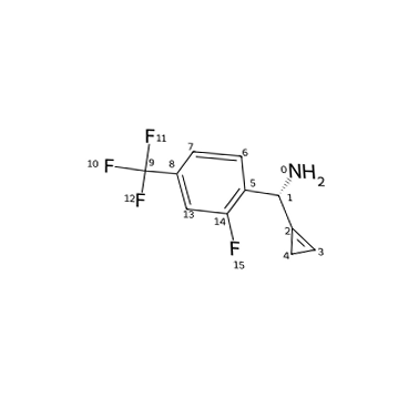 N[C@H](C1=CC1)c1ccc(C(F)(F)F)cc1F